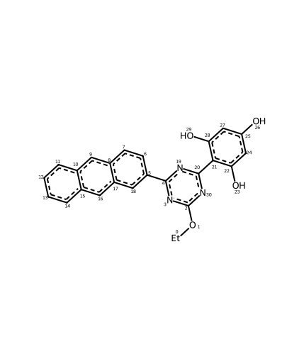 CCOc1nc(-c2ccc3cc4ccccc4cc3c2)nc(-c2c(O)cc(O)cc2O)n1